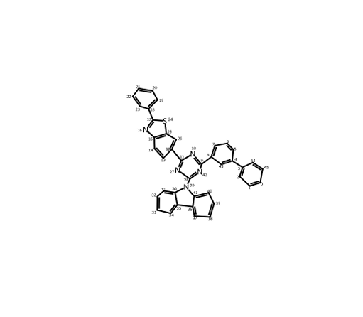 c1ccc(-c2cccc(-c3nc(-c4ccc5nc(-c6ccccc6)sc5c4)nc(-n4c5ccccc5c5ccccc54)n3)c2)cc1